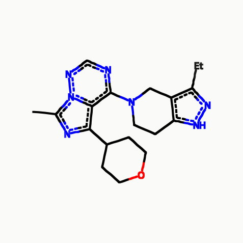 CCc1n[nH]c2c1CN(c1ncnn3c(C)nc(C4CCOCC4)c13)CC2